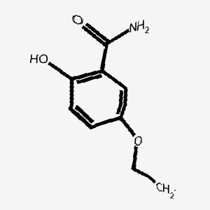 [CH2]COc1ccc(O)c(C(N)=O)c1